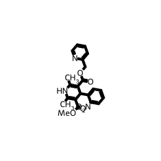 COC(=O)C1=C(C)NC(C)=C(C(=O)OCc2ccccn2)C1c1ccccc1[N+](=O)[O-]